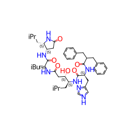 CC[C@H](C)[C@H](NC(=O)C[C@H](O)[C@H](CC(C)C)NC(=O)[C@H](Cc1c[nH]cn1)NC(=O)C(Cc1ccccc1)Cc1ccccc1)C(=O)N[C@H]1CC(=O)N[C@H]1CC(C)C